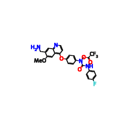 COc1cc2c(Oc3ccc(N(OC(=O)C(F)(F)F)C(=O)Nc4ccc(F)cc4)cc3)ccnc2cc1CN